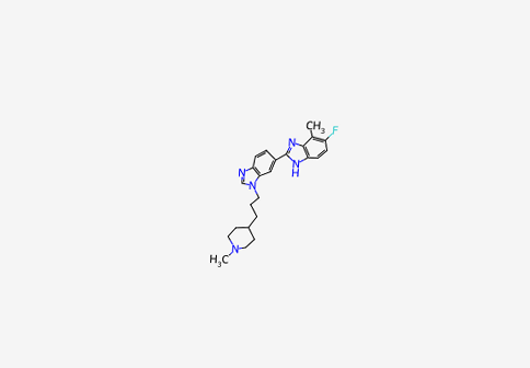 Cc1c(F)ccc2[nH]c(-c3ccc4ncn(CCCC5CCN(C)CC5)c4c3)nc12